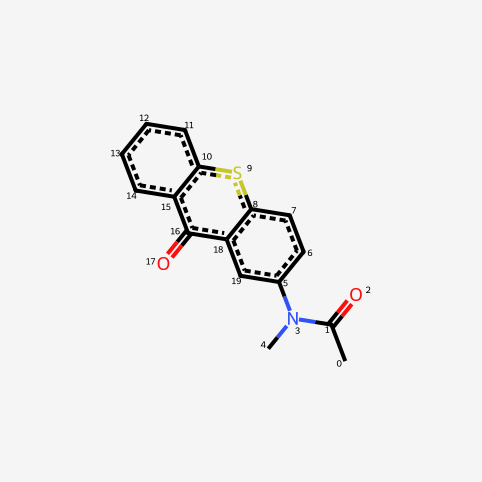 CC(=O)N(C)c1ccc2sc3ccccc3c(=O)c2c1